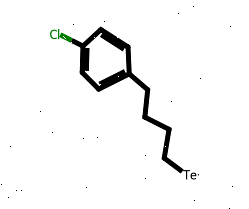 Clc1ccc(CCCC[Te])cc1